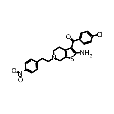 Nc1sc2c(c1C(=O)c1ccc(Cl)cc1)CCN(CCc1ccc([N+](=O)[O-])cc1)C2